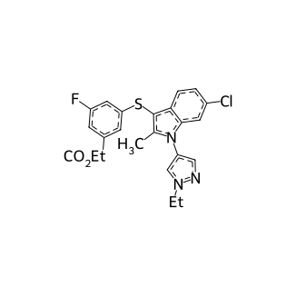 CCOC(=O)c1cc(F)cc(Sc2c(C)n(-c3cnn(CC)c3)c3cc(Cl)ccc23)c1